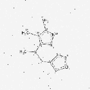 CN(Cc1ccoc1)c1nnc(N)n1C